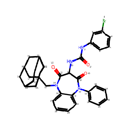 O=C(Nc1cccc(Br)c1)NC1C(=O)N(CC23CC4CC(CC(C4)C2)C3)c2ccccc2N(c2ccccc2)C1=O